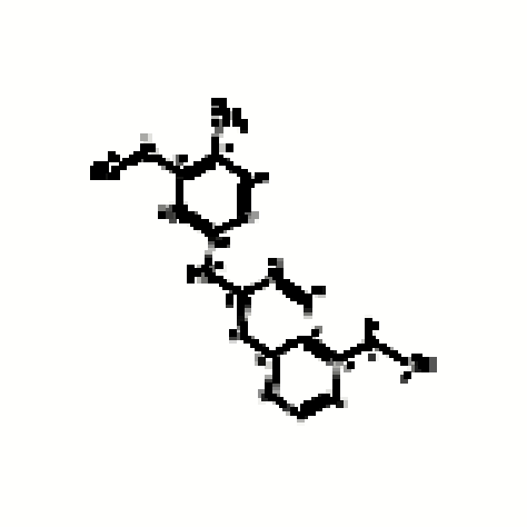 CCCCNc1cccc2cc(Nc3cnc(C)c(O[C@H](C)CC)n3)ncc12